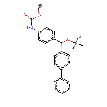 CC(C)(C)OC(=O)Nc1ccc(C(O[Si](C)(C)C(C)(C)C)c2ccc(-c3ccc(F)cc3)cc2)cc1